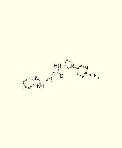 O=C(C[C@@H]1C[C@@H]1c1nc2ccccc2[nH]1)N[C@@H]1CCN(c2ccc(C(F)(F)F)nc2)C1